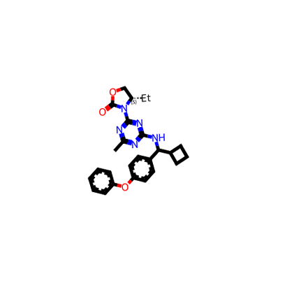 CC[C@H]1COC(=O)N1c1nc(C)nc(NC(c2ccc(Oc3ccccc3)cc2)C2CCC2)n1